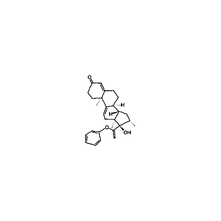 C=C(Oc1ccccc1)[C@@]1(O)[C@@H](C)C[C@H]2[C@@H]3CCC4=CC(=O)CC[C@]4(C)C3=CC[C@@]21C